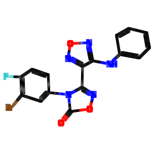 O=c1onc(-c2nonc2Nc2ccccc2)n1-c1ccc(F)c(Br)c1